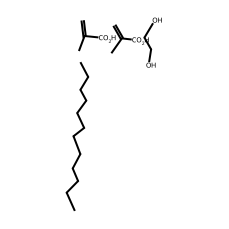 C=C(C)C(=O)O.C=C(C)C(=O)O.CCCCCCCCCCCC.OCCO